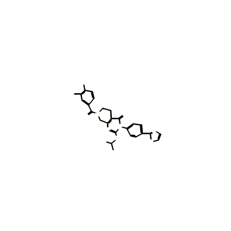 CC(C)Nc1nc2c(c(=O)n1-c1ccc(-c3nccs3)cc1)CCN(C(=O)c1ccc(Cl)c(Cl)c1)C2